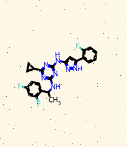 CC(Nc1nc(Nc2cc(-c3ccccc3F)[nH]n2)nc(C2CC2)n1)c1ccc(F)cc1F